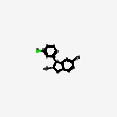 C[C@H]1Cc2ccc(C#N)cc2[C@@H]1c1cccc(Cl)c1